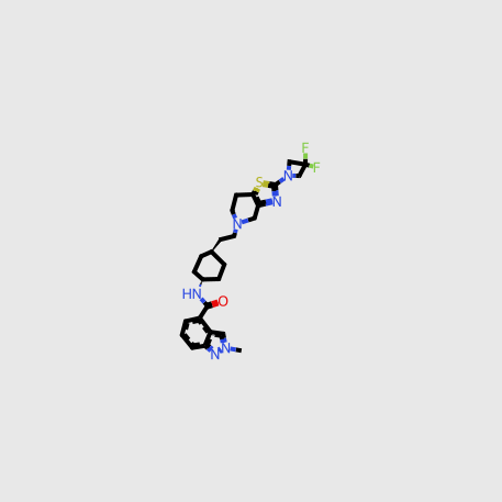 Cn1cc2c(C(=O)N[C@H]3CC[C@H](CCN4CCc5sc(N6CC(F)(F)C6)nc5C4)CC3)cccc2n1